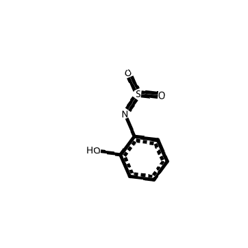 O=S(=O)=Nc1ccccc1O